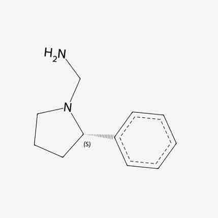 NCN1CCC[C@H]1c1ccccc1